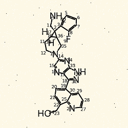 NC[C@]1(c2ccccc2F)[C@@H]2CCN(c3cnc4c(-c5ccc(CO)c6ncccc56)n[nH]c4n3)C[C@@H]21